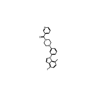 Cc1ccc(F)c2ccn(-c3cccc(N4CCN(C(=O)c5cccnc5)CC4)c3)c12